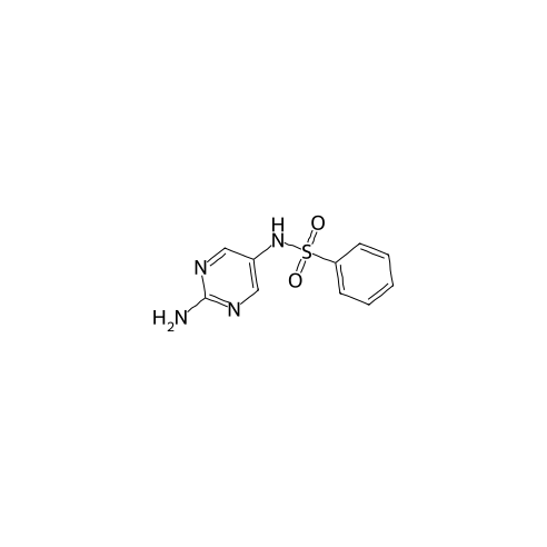 Nc1ncc(NS(=O)(=O)c2ccccc2)cn1